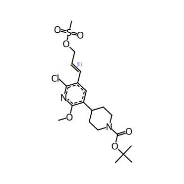 COc1nc(Cl)c(/C=C/COS(C)(=O)=O)cc1C1CCN(C(=O)OC(C)(C)C)CC1